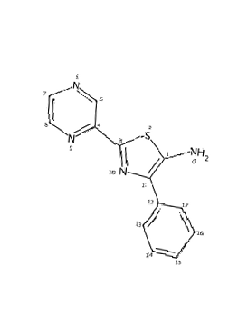 Nc1sc(-c2cnccn2)nc1-c1ccccc1